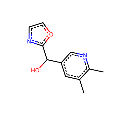 Cc1cc(C(O)c2ncco2)cnc1C